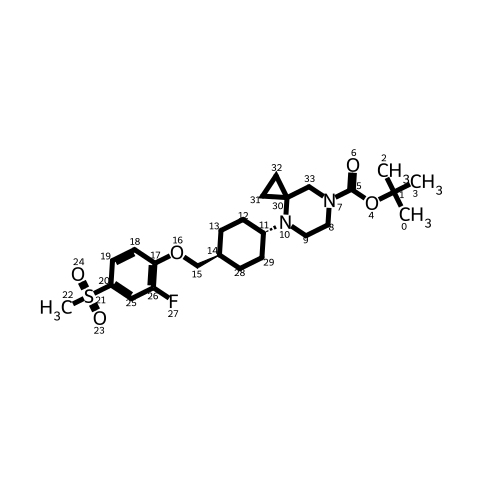 CC(C)(C)OC(=O)N1CCN([C@H]2CC[C@H](COc3ccc(S(C)(=O)=O)cc3F)CC2)C2(CC2)C1